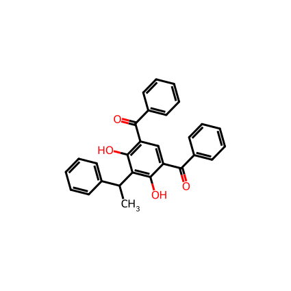 CC(c1ccccc1)c1c(O)c(C(=O)c2ccccc2)cc(C(=O)c2ccccc2)c1O